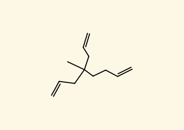 C=CCCC(C)(CC=C)CC=C